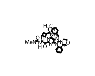 CNC(=O)NNC(=O)c1nc(N[C@H](C)C2CCC2)c2c(n1)nc(N1CCOC[C@H]1c1ccccc1)n2CC1CCC(C)CC1